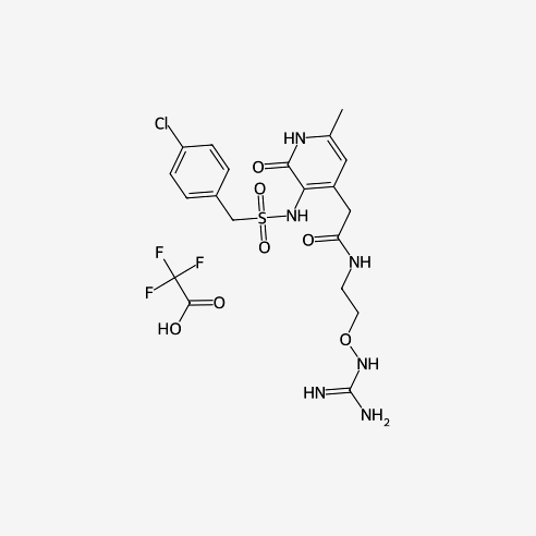 Cc1cc(CC(=O)NCCONC(=N)N)c(NS(=O)(=O)Cc2ccc(Cl)cc2)c(=O)[nH]1.O=C(O)C(F)(F)F